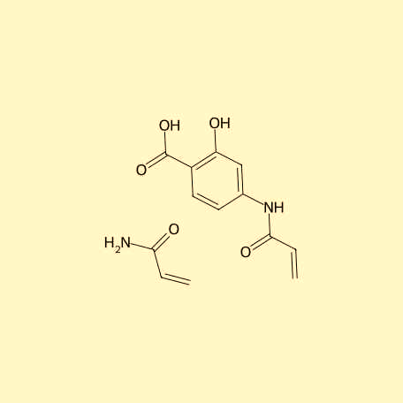 C=CC(=O)Nc1ccc(C(=O)O)c(O)c1.C=CC(N)=O